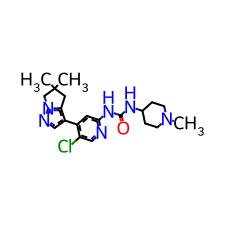 CN1CCC(NC(=O)Nc2cc(-c3cnn4c3CC(C)(C)C4)c(Cl)cn2)CC1